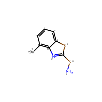 CC(C)(C)c1cccc2sc(SN)nc12